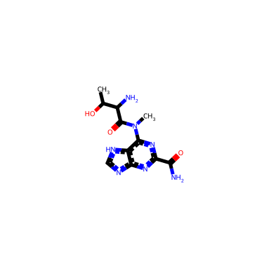 CC(O)C(N)C(=O)N(C)c1nc(C(N)=O)nc2nc[nH]c12